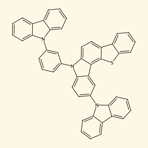 c1cc(-n2c3ccccc3c3ccccc32)cc(-n2c3ccc(-n4c5ccccc5c5ccccc54)cc3c3c4sc5ccccc5c4ccc32)c1